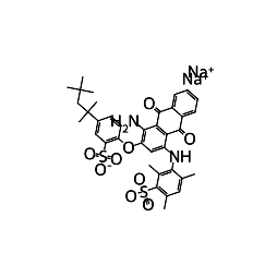 Cc1cc(C)c(S(=O)(=O)[O-])c(C)c1Nc1cc(Oc2ccc(C(C)(C)CC(C)(C)C)cc2S(=O)(=O)[O-])c(N)c2c1C(=O)c1ccccc1C2=O.[Na+].[Na+]